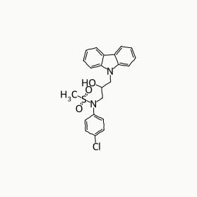 CS(=O)(=O)N(CC(O)Cn1c2ccccc2c2ccccc21)c1ccc(Cl)cc1